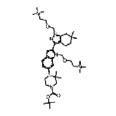 CC1(C)CCc2c(-c3cc4ccc(N5CCN(C(=O)OC(C)(C)C)CC5(C)C)cc4n3COCC[Si](C)(C)C)nn(COCC[Si](C)(C)C)c2C1